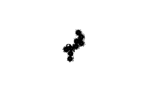 c1ccc(-c2ccc(-c3nc(-c4cccc(-c5cccc6c5c5ccccc5n6-c5cccc(-c6ccccc6)c5)c4)nc4oc5ccccc5c34)cc2)cc1